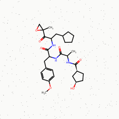 COc1ccc(CC(NC(=O)C(C)NC(=O)[C@H]2CC[C@@H](O)C2)C(=O)NC(CC2CCCC2)C(=O)C2(C)CO2)cc1